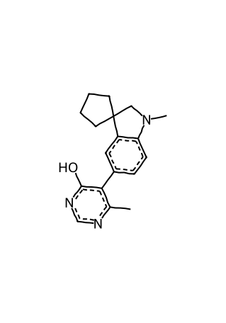 Cc1ncnc(O)c1-c1ccc2c(c1)C1(CCCC1)CN2C